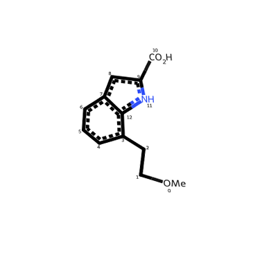 COCCc1cccc2cc(C(=O)O)[nH]c12